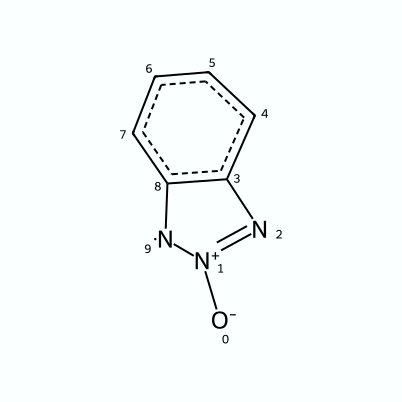 [O-][N+]1=Nc2ccccc2[N]1